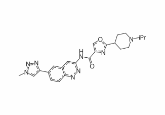 CC(C)N1CCC(c2nc(C(=O)Nc3cc4cc(-c5cn(C)nn5)ccc4nn3)co2)CC1